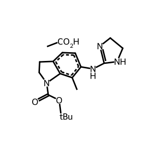 CC(=O)O.Cc1c(NC2=NCCN2)ccc2c1N(C(=O)OC(C)(C)C)CC2